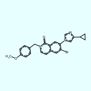 COc1ccc(Cn2ccc3cc(Br)c(-n4cnc(C5CC5)c4)cc3c2=O)cc1